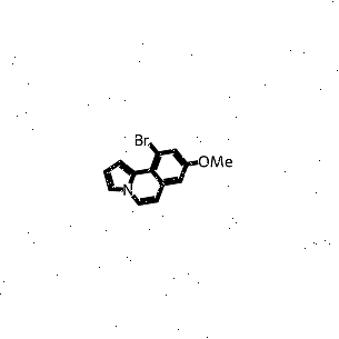 COc1cc(Br)c2c(ccn3cccc23)c1